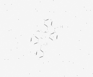 CC(c1ccccc1)c1ccccc1OP(OF)Oc1ccccc1C(C)c1ccccc1